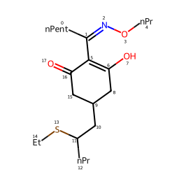 CCCCC/C(=N/OCCC)C1=C(O)CC(CC(CCC)SCC)CC1=O